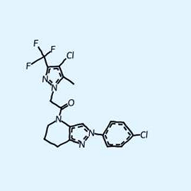 Cc1c(Cl)c(C(F)(F)F)nn1CC(=O)N1CCCc2nn(-c3ccc(Cl)cc3)cc21